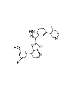 Cc1ccncc1-c1ccc2[nH]nc(-c3nc4c(-c5cc(O)cc(F)c5)ccnc4[nH]3)c2c1